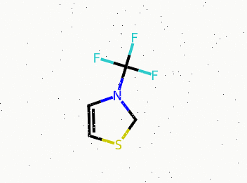 FC(F)(F)N1C=CSC1